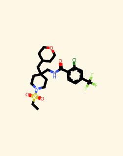 CCS(=O)(=O)N1CCC(CNC(=O)c2ccc(C(F)(F)F)cc2Cl)(CC2CCOCC2)CC1